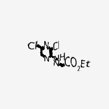 CCOC(=O)/C=N\Nc1ncc(Cl)nc1Cl